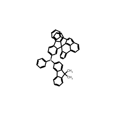 CC1(C)c2ccccc2-c2cc(N(c3ccccc3)c3ccc4c(c3)C3(c5ccccc5-4)c4ccccc4-c4cccc5ccc(-c6ccccc6)c3c45)ccc21